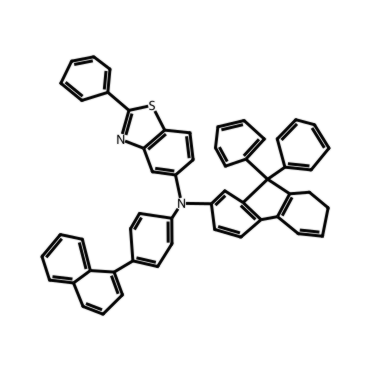 C1=CC2=C(CC1)C(c1ccccc1)(c1ccccc1)c1cc(N(c3ccc(-c4cccc5ccccc45)cc3)c3ccc4sc(-c5ccccc5)nc4c3)ccc12